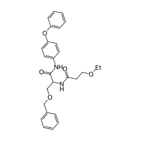 CCOCCC(=O)NC(COCc1ccccc1)C(=O)Nc1ccc(Oc2ccccc2)cc1